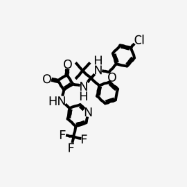 CC(C)(C)C(NC(=O)c1ccc(Cl)cc1)(Nc1c(Nc2cncc(C(F)(F)F)c2)c(=O)c1=O)c1ccccc1